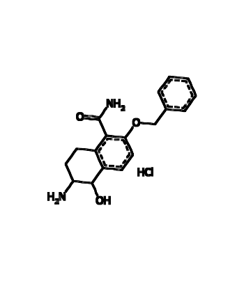 Cl.NC(=O)c1c(OCc2ccccc2)ccc2c1CCC(N)C2O